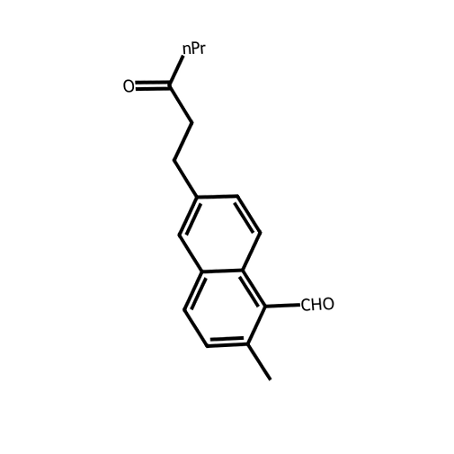 CCCC(=O)CCc1ccc2c(C=O)c(C)ccc2c1